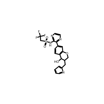 O=S(=O)(CC(F)(F)F)Nc1nccnc1-c1ccc2c(c1)OCC(Cc1ccccn1)C2O